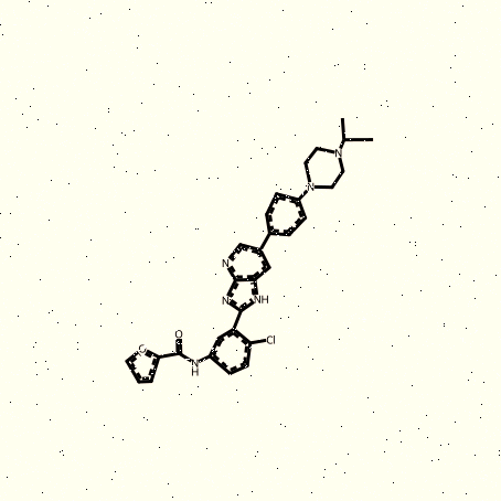 CC(C)N1CCN(c2ccc(-c3cnc4nc(-c5cc(NC(=O)c6ccco6)ccc5Cl)[nH]c4c3)cc2)CC1